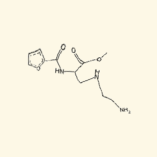 COC(=O)C(CNCCN)NC(=O)c1ccco1